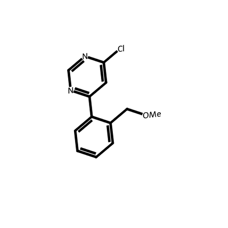 COCc1ccccc1-c1cc(Cl)ncn1